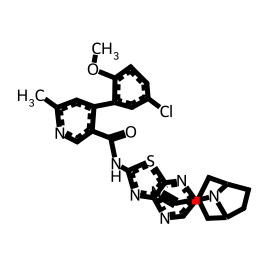 COc1ccc(Cl)cc1-c1cc(C)ncc1C(=O)Nc1nc2ncc(N3C4CCC3CC(C#N)C4)nc2s1